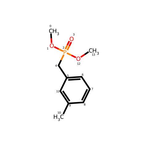 COP(=O)(Cc1cccc(C)c1)OC